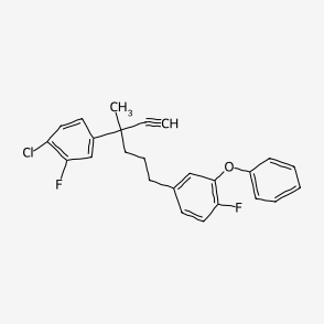 C#CC(C)(CCCc1ccc(F)c(Oc2ccccc2)c1)c1ccc(Cl)c(F)c1